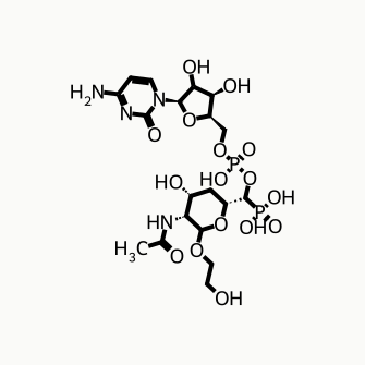 CC(=O)N[C@H]1C(OCCO)O[C@@H](C(OP(=O)(O)OC[C@H]2O[C@@H](n3ccc(N)nc3=O)C(O)[C@H]2O)P(=O)(O)O)C[C@H]1O